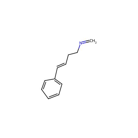 C=NCC/C=C/c1ccccc1